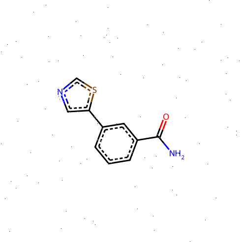 NC(=O)c1cccc(-c2cncs2)c1